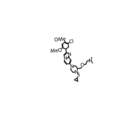 COC1=CC(OC)=C(Cl)CC1c1cn2ccc(N3CCN(SC4CC4)C(COCCN(C)C)C3)cc2n1